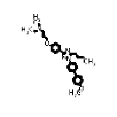 CCCCc1nc(-c2ccc(OCCCN(CC)CC)cc2)nn1-c1ccc(-c2ccc(OC)cc2)cc1